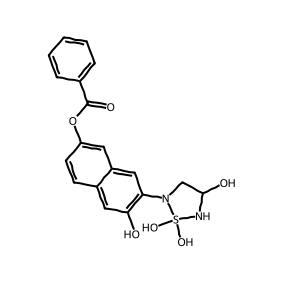 O=C(Oc1ccc2cc(O)c(N3CC(O)NS3(O)O)cc2c1)c1ccccc1